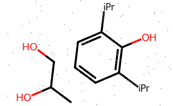 CC(C)c1cccc(C(C)C)c1O.CC(O)CO